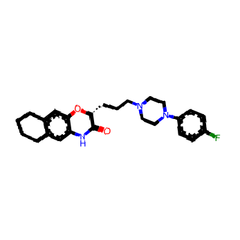 O=C1Nc2cc3c(cc2O[C@@H]1CCCN1CCN(c2ccc(F)cc2)CC1)CCCC3